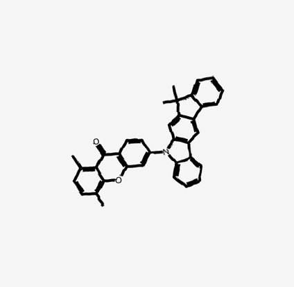 Cc1ccc(C)c2c(=O)c3ccc(-n4c5ccccc5c5cc6c(cc54)C(C)(C)c4ccccc4-6)cc3oc12